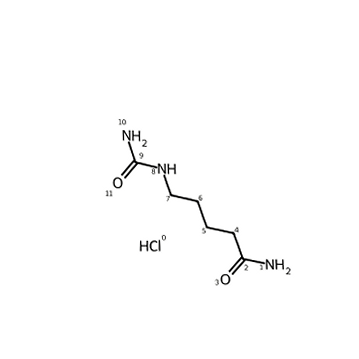 Cl.NC(=O)CCCCNC(N)=O